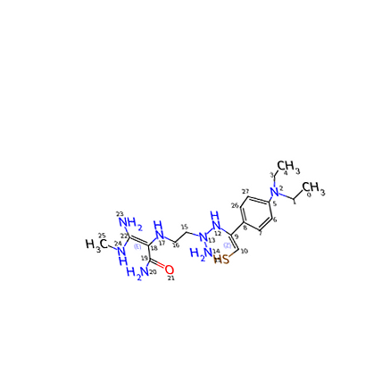 CCN(CC)c1ccc(/C(=C/S)NN(N)CCN/C(C(N)=O)=C(\N)NC)cc1